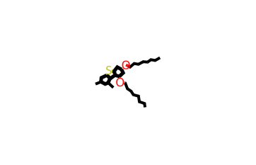 CCCCCCCCOc1cc(OCCCCCCCC)c2c(c1)sc1cc(C)cc(C)c12